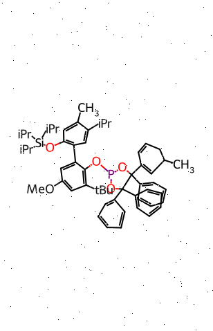 COc1cc(-c2cc(C(C)C)c(C)cc2O[Si](C(C)C)(C(C)C)C(C)C)c(OP2OC(C3=CC(C)CC=C3)(c3ccccc3)C(c3ccccc3)(c3ccccc3)O2)c(C(C)(C)C)c1